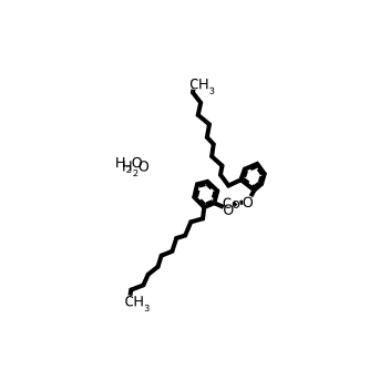 CCCCCCCCCCCc1ccccc1[O][Co][O]c1ccccc1CCCCCCCCCCC.O.O